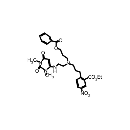 CCOC(=O)c1cc([N+](=O)[O-])ccc1CCCN(CCCOC(=O)c1ccccc1)CCNc1cc(=O)n(C)c(=O)n1C